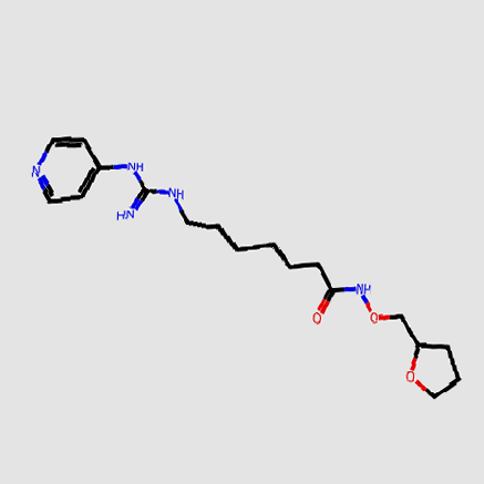 N=C(NCCCCCCC(=O)NOCC1CCCO1)Nc1ccncc1